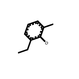 CCc1cccc(C)c1[O]